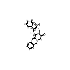 O=C1CN(Cc2ccccc2)C(=O)[C@H](Cc2c[nH]c3ccccc23)N1